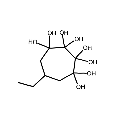 CCC1CC(O)(O)C(O)(O)C(O)(O)C(O)(O)C1